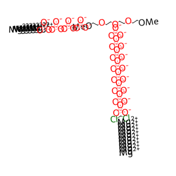 COCCOCCOCCOCCOC.ClCCl.[Mg+2].[Mg+2].[Mg+2].[Mg+2].[Mg+2].[Mg+2].[Mg+2].[Mg+2].[Mg+2].[Mg+2].[Mg+2].[Mg+2].[Mg+2].[Mg+2].[Mg+2].[Mg+2].[Mg+2].[Mg+2].[O-]B([O-])[O-].[O-]B([O-])[O-].[O-]B([O-])[O-].[O-]B([O-])[O-].[O-]B([O-])[O-].[O-]B([O-])[O-].[O-]B([O-])[O-].[O-]B([O-])[O-].[O-]B([O-])[O-].[O-]B([O-])[O-].[O-]B([O-])[O-].[O-]B([O-])[O-]